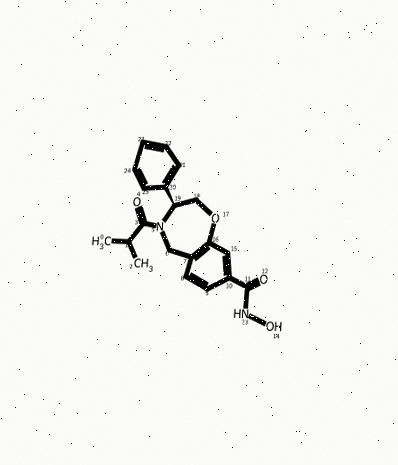 CC(C)C(=O)N1Cc2ccc(C(=O)NO)cc2OC[C@@H]1c1ccccc1